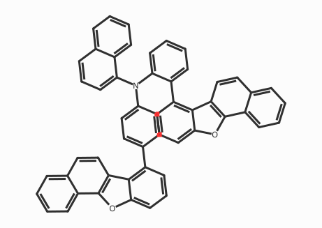 c1ccc(N(c2ccc(-c3cccc4oc5c6ccccc6ccc5c34)cc2)c2cccc3ccccc23)c(-c2cccc3oc4c5ccccc5ccc4c23)c1